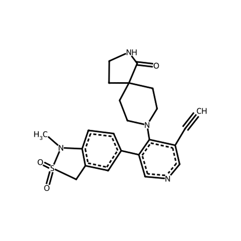 C#Cc1cncc(-c2ccc3c(c2)CS(=O)(=O)N3C)c1N1CCC2(CCNC2=O)CC1